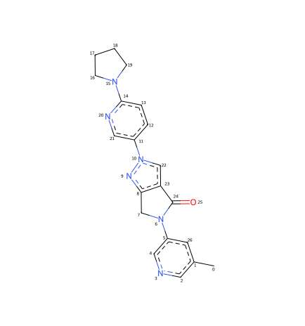 Cc1cncc(N2Cc3nn(-c4ccc(N5CCCC5)nc4)cc3C2=O)c1